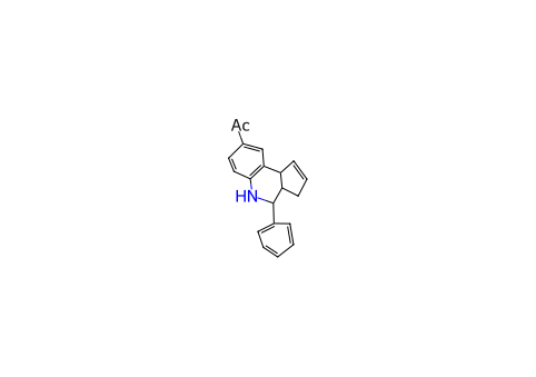 CC(=O)c1ccc2c(c1)C1C=CCC1C(c1ccccc1)N2